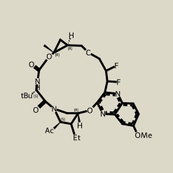 CCC1[C@@H]2CN(C(=O)[C@H](C(C)(C)C)NC(=O)O[C@]3(C)C[C@H]3CCCC(F)C(F)c3nc4ccc(OC)cc4nc3O2)[C@@H]1C(C)=O